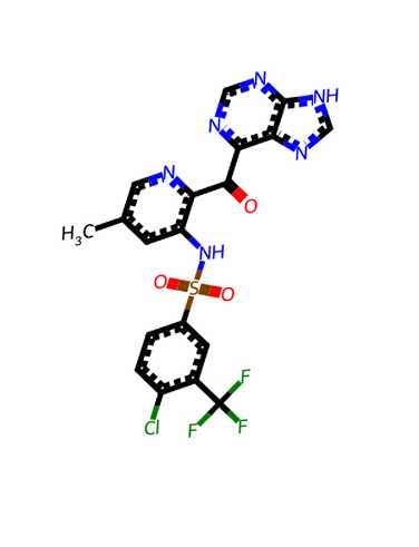 Cc1cnc(C(=O)c2ncnc3[nH]cnc23)c(NS(=O)(=O)c2ccc(Cl)c(C(F)(F)F)c2)c1